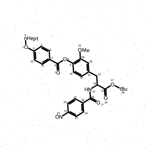 CCCCCCCOc1ccc(C(=O)Oc2ccc(CC(NC(=O)c3ccc(N=O)cc3)C(=O)OC(C)(C)C)cc2OC)cc1